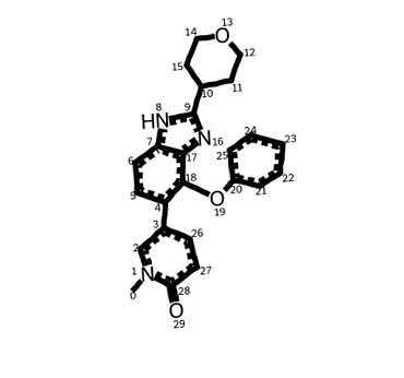 Cn1cc(-c2ccc3[nH]c(C4CCOCC4)nc3c2Oc2ccccc2)ccc1=O